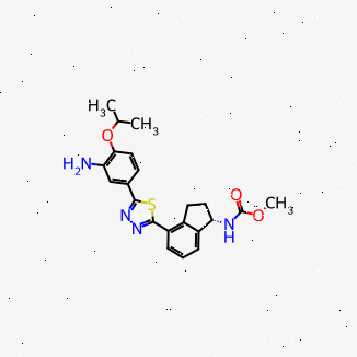 COC(=O)N[C@H]1CCc2c(-c3nnc(-c4ccc(OC(C)C)c(N)c4)s3)cccc21